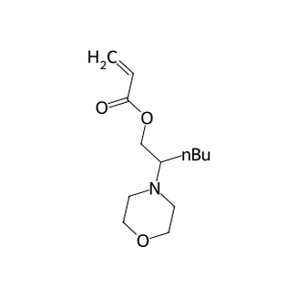 C=CC(=O)OCC(CCCC)N1CCOCC1